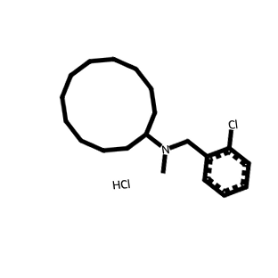 CN(Cc1ccccc1Cl)C1CCCCCCCCCCC1.Cl